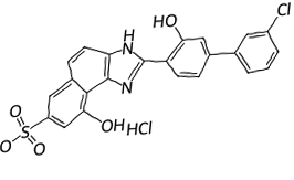 Cl.O=S(=O)(O)c1cc(O)c2c(ccc3[nH]c(-c4ccc(-c5cccc(Cl)c5)cc4O)nc32)c1